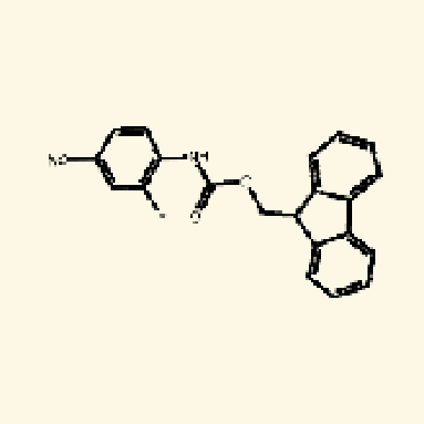 N#Cc1ccc(NC(=O)OCC2c3ccccc3-c3ccccc32)c(F)c1